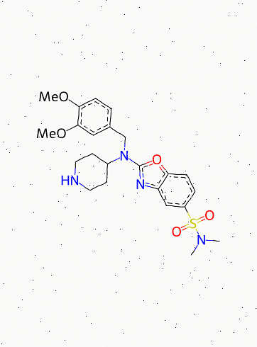 COc1ccc(CN(c2nc3cc(S(=O)(=O)N(C)C)ccc3o2)C2CCNCC2)cc1OC